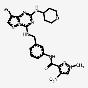 CC(C)c1cnn2c(NCc3cccc(NC(=O)c4nn(C)cc4[N+](=O)[O-])c3)nc(NC3CCOCC3)nc12